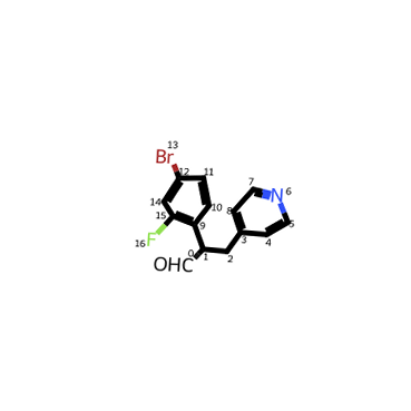 O=CC(Cc1ccncc1)c1ccc(Br)cc1F